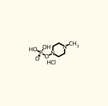 CN1CCN(OP(=O)(O)O)CC1.Cl